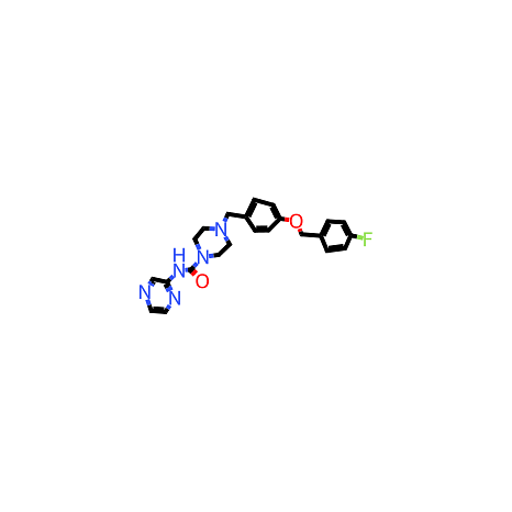 O=C(Nc1cnccn1)N1CCN(Cc2ccc(OCc3ccc(F)cc3)cc2)CC1